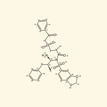 CC(CS(=O)(=O)CC(=O)c1ccccc1)C(=O)N([C@H](N)[C@@H](C)Cc1ccccc1)S(=O)(=O)c1ccc2c(c1)OCO2